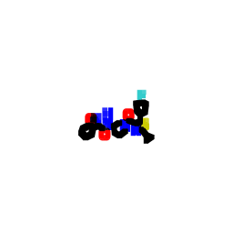 O=C(N[C@@H]1CCCN(C(=O)c2nc(C3CC3)sc2-c2ccc(F)cc2)C1)c1noc2ccccc12